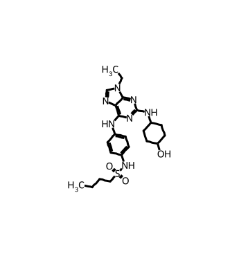 CCCCS(=O)(=O)Nc1ccc(Nc2nc(NC3CCC(O)CC3)nc3c2ncn3CC)cc1